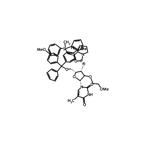 COCCOC1[C@@H](O[P@]2O[C@@H](C[Si](C)(c3ccccc3)c3ccccc3)[C@H]3CCCN32)[C@@H](COC(c2ccccc2)(c2ccc(OC)cc2)c2ccc(OC)cc2)O[C@H]1n1cc(C)c(=O)[nH]c1=O